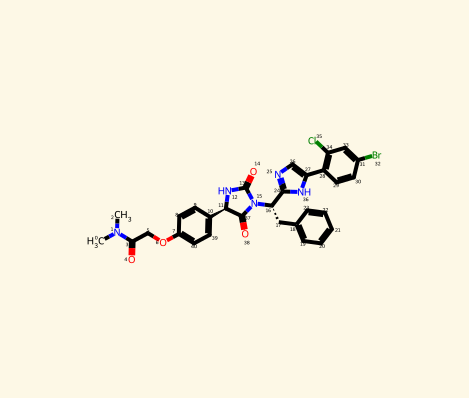 CN(C)C(=O)COc1ccc([C@H]2NC(=O)N([C@@H](Cc3ccccc3)c3ncc(-c4ccc(Br)cc4Cl)[nH]3)C2=O)cc1